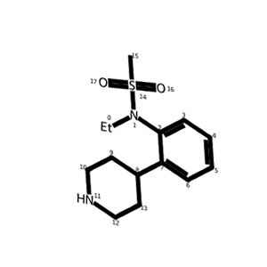 CCN(c1ccccc1C1CCNCC1)S(C)(=O)=O